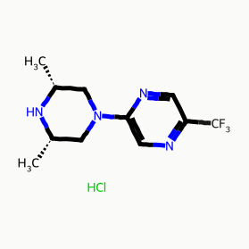 C[C@@H]1CN(c2cnc(C(F)(F)F)cn2)C[C@H](C)N1.Cl